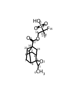 CC1OC12C1CC3CC2CC(C(=O)OCC(F)(F)S(=O)(=O)O)(C3)C1